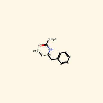 CCCCCCCC(=O)N[C@@H](CC(=O)O)Cc1ccccc1